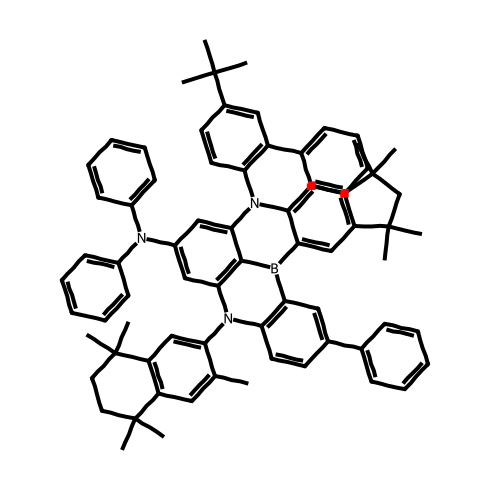 Cc1cc2c(cc1N1c3ccc(-c4ccccc4)cc3B3c4cc5c(cc4N(c4ccc(C(C)(C)C)cc4-c4ccccc4)c4cc(N(c6ccccc6)c6ccccc6)cc1c43)C(C)(C)CC5(C)C)C(C)(C)CCC2(C)C